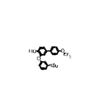 CC(C)(C)c1cccc(Oc2cc(-c3ccc(OC(F)(F)F)cc3)ccc2O)c1